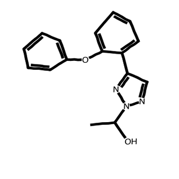 CC(O)n1ncc(-c2ccccc2Oc2ccccc2)n1